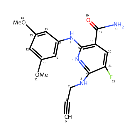 C#CCNc1nc(Nc2cc(OC)cc(OC)c2)c(C(N)=O)cc1F